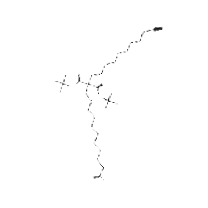 C#CCCCCCCCCCC(CCCCCCCCCCC(=O)O)(C(=O)OC(C)(C)C)C(=O)OC(C)(C)C